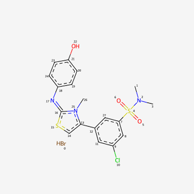 Br.CN(C)S(=O)(=O)c1cc(Cl)cc(-c2csc(=Nc3ccc(O)cc3)n2C)c1